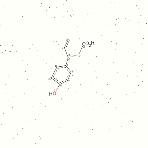 C=C[C@H](CC(=O)O)c1ccc(O)cc1